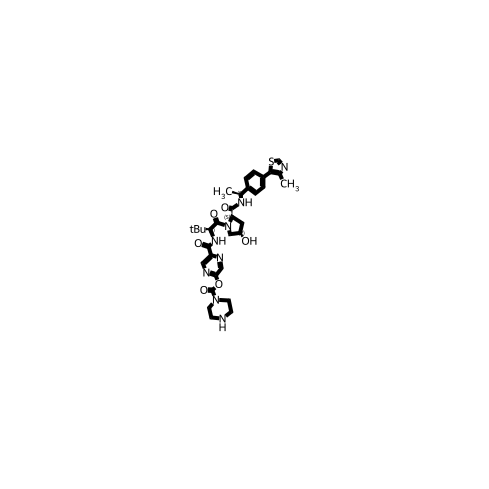 Cc1ncsc1-c1ccc([C@H](C)NC(=O)[C@@H]2C[C@@H](O)CN2C(=O)[C@@H](NC(=O)c2cnc(OC(=O)N3CCNCC3)cn2)C(C)(C)C)cc1